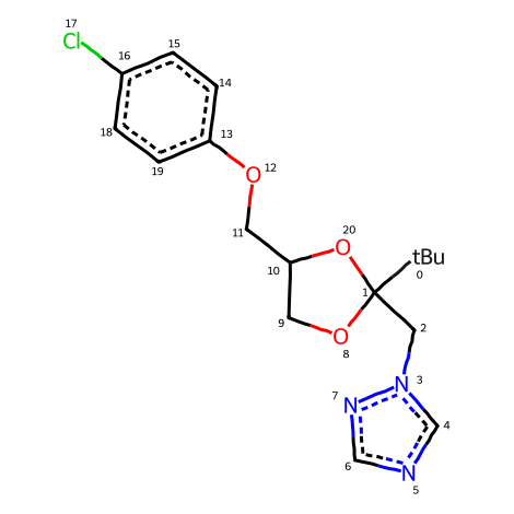 CC(C)(C)C1(Cn2cncn2)OCC(COc2ccc(Cl)cc2)O1